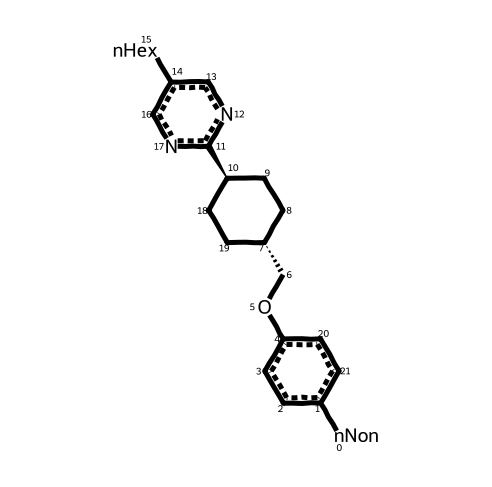 CCCCCCCCCc1ccc(OC[C@H]2CC[C@H](c3ncc(CCCCCC)cn3)CC2)cc1